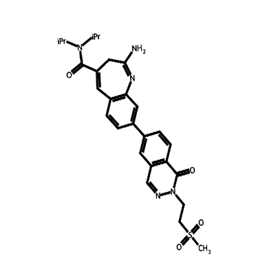 CC(C)N(C(=O)C1=Cc2ccc(-c3ccc4c(=O)n(CCS(C)(=O)=O)ncc4c3)cc2N=C(N)C1)C(C)C